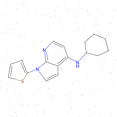 c1csc(-n2ccc3c(NC4CCCCC4)ccnc32)c1